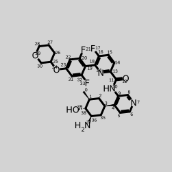 C[C@H]1C[C@@H](c2ccncc2NC(=O)c2ccc(F)c(-c3c(F)cc(OC4CCCOC4)cc3F)n2)C[C@@H](N)[C@@H]1O